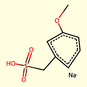 COc1cccc(CS(=O)(=O)O)c1.[Na]